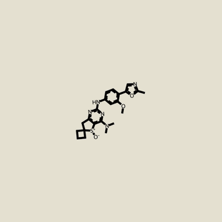 COc1cc(Nc2nc3c(c(N(C)C)n2)[S+]([O-])C2(CCC2)C3)ccc1-c1cnc(C)o1